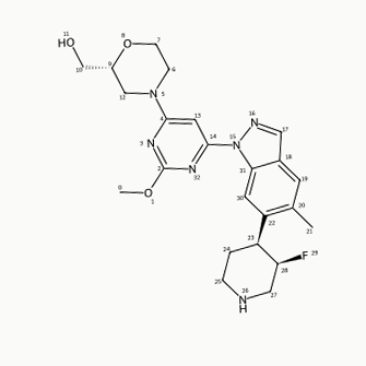 COc1nc(N2CCO[C@@H](CO)C2)cc(-n2ncc3cc(C)c([C@@H]4CCNC[C@@H]4F)cc32)n1